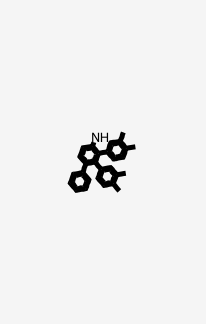 Cc1ccc(-c2c(N)ccc(-c3ccccc3)c2-c2ccc(C)c(C)c2)cc1C